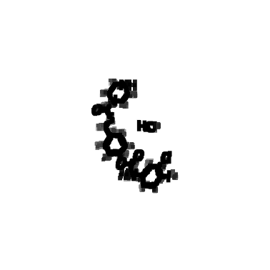 Cl.O=C(Nc1ccc(F)c(Cl)c1)Oc1ccc(CSC(=O)N2CCNCC2)cc1